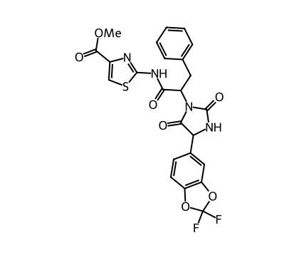 COC(=O)c1csc(NC(=O)C(Cc2ccccc2)N2C(=O)NC(c3ccc4c(c3)OC(F)(F)O4)C2=O)n1